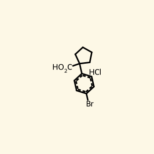 Cl.O=C(O)C1(c2ccc(Br)cc2)CCCC1